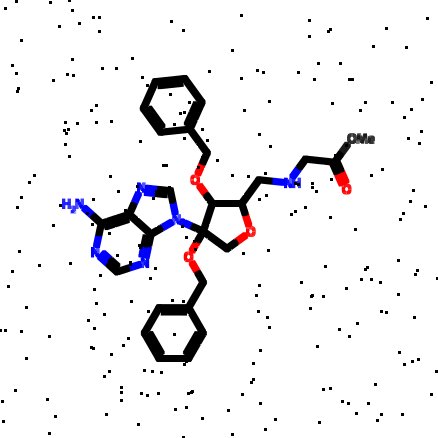 COC(=O)CNCC1OCC(OCc2ccccc2)(n2cnc3c(N)ncnc32)C1OCc1ccccc1